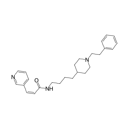 O=C(/C=C\c1cccnc1)NCCCCC1CCN(CCc2ccccc2)CC1